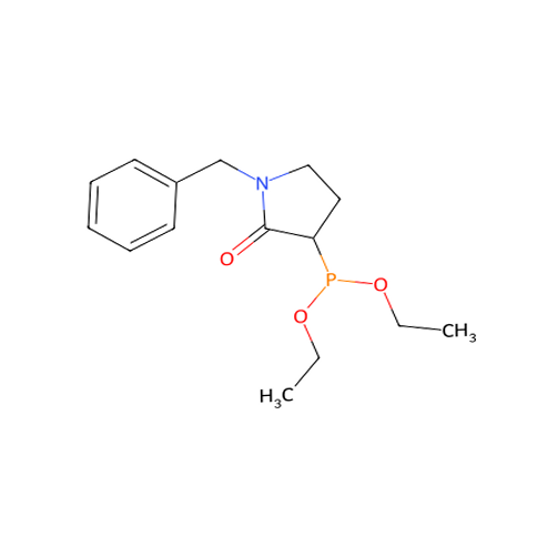 CCOP(OCC)C1CCN(Cc2ccccc2)C1=O